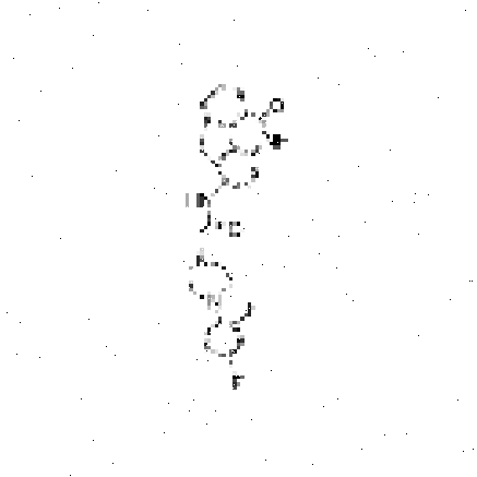 O=C(CN1CCN(c2ccc(F)cc2F)CC1)Nc1ccc2[nH]c(=O)c3cccc4c3c2c1C4